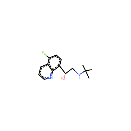 CC(C)(C)NC[C@H](O)c1ccc(F)c2cccnc12